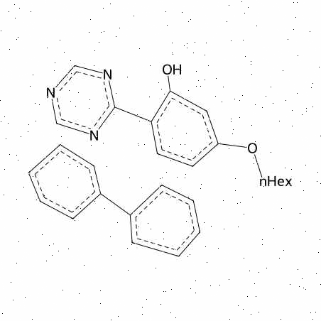 CCCCCCOc1ccc(-c2ncncn2)c(O)c1.c1ccc(-c2ccccc2)cc1